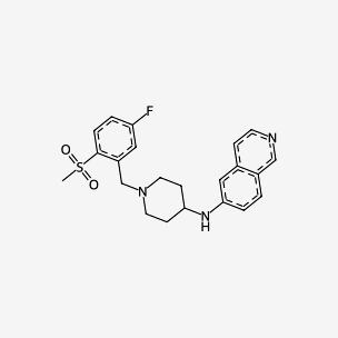 CS(=O)(=O)c1ccc(F)cc1CN1CCC(Nc2ccc3cnccc3c2)CC1